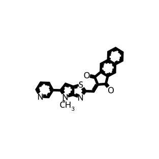 Cn1c(-c2cccnc2)cc2sc(C=C3C(=O)c4cc5ccccc5cc4C3=O)nc21